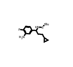 CC(C)(C)SNC(CCC1CC1)c1ccc(F)c(N)c1